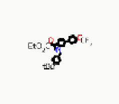 CCOC(=O)C(=O)c1cn(Cc2ccc(C(C)(C)C)cc2)c2cc(-c3ccc(OC(F)(F)F)cc3)ccc12